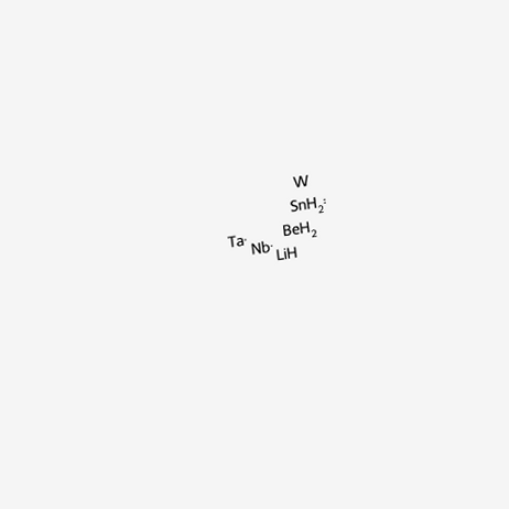 [BeH2].[LiH].[Nb].[SnH2].[Ta].[W]